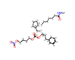 CNC(=O)CCCCCC[C@H]1CCC[C@@H]1CC[C@H](CCc1ccccc1)OC(=O)OCCCCO[N+](=O)[O-]